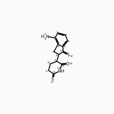 Nc1cccc2c1CC(C1CCC(=S)NC1=O)C2=S